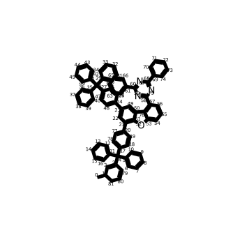 CC1C=C(C(c2ccccc2)(c2ccccc2)c2ccc(-c3cc(-c4ccc(C(c5ccccc5)(c5ccccc5)c5ccccc5)cc4)cc4c3oc3cccc(-c5nc(-c6ccccc6)nc(-c6ccccc6)n5)c34)cc2)C=CC1